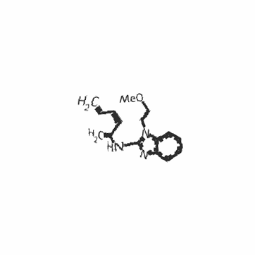 C=C/C=C\C(=C)Nc1nc2ccccc2n1CCOC